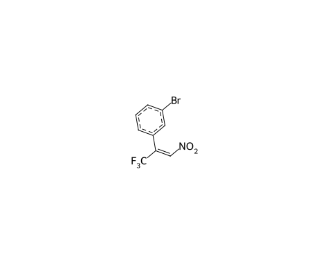 O=[N+]([O-])/C=C(\c1cccc(Br)c1)C(F)(F)F